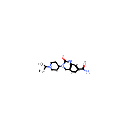 CC(C)N1CCC(N2Cc3ccc(C(N)=O)cc3NC2=O)CC1